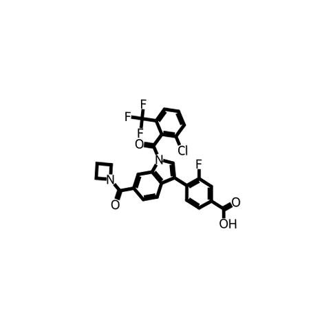 O=C(O)c1ccc(-c2cn(C(=O)c3c(Cl)cccc3C(F)(F)F)c3cc(C(=O)N4CCC4)ccc23)c(F)c1